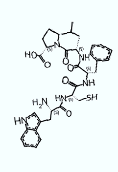 CC(C)C[C@H](NC(=O)[C@H](Cc1ccccc1)NC(=O)[C@H](CS)NC(=O)[C@@H](N)Cc1c[nH]c2ccccc12)C(=O)N1CCC[C@H]1C(=O)O